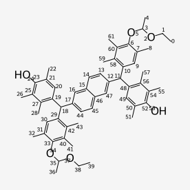 CCOC(C)Oc1c(C)cc(C(c2ccc3cc(C(c4cc(C)c(O)c(C)c4C)c4cc(C)c(OC(C)OCC)c(C)c4C)ccc3c2)c2cc(C)c(O)c(C)c2C)c(C)c1C